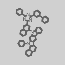 c1ccc(-c2cccc(-c3nc(-c4ccccc4)nc(-c4cc(-n5c6ccccc6c6cc7c8ccc9ccccc9c8n(-c8ccccc8)c7cc65)c5ccccc5c4)n3)c2)cc1